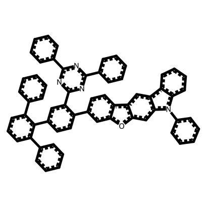 c1ccc(-c2nc(-c3ccccc3)nc(-c3cc(-c4c(-c5ccccc5)cccc4-c4ccccc4)ccc3-c3ccc4c(c3)oc3cc5c(cc34)c3ccccc3n5-c3ccccc3)n2)cc1